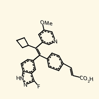 COc1cncc(/C(=C(\c2ccc(/C=C/C(=O)O)cc2)c2ccc3[nH]nc(F)c3c2)C2CCC2)c1